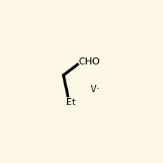 CCCC=O.[V]